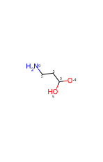 NCCC([O])O